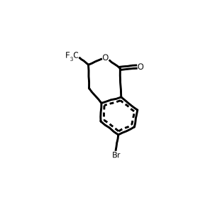 O=C1OC(C(F)(F)F)Cc2cc(Br)ccc21